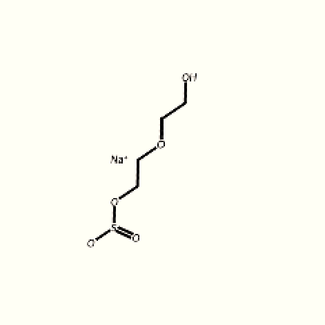 O=S([O-])OCCOCCO.[Na+]